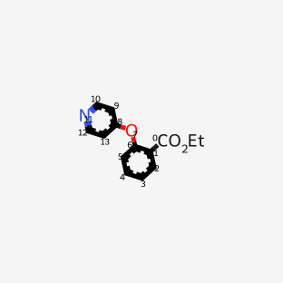 CCOC(=O)c1ccccc1Oc1ccncc1